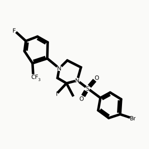 CC1(I)CN(c2ccc(F)cc2C(F)(F)F)CCN1S(=O)(=O)c1ccc(Br)cc1